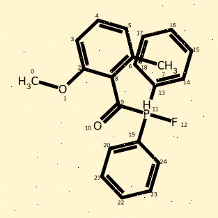 COc1cccc(C)c1C(=O)[PH](F)(c1ccccc1)c1ccccc1